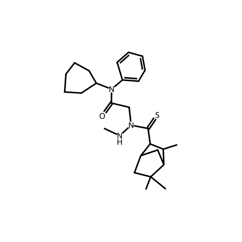 CNN(CC(=O)N(c1ccccc1)C1CCCCC1)C(=S)C1C2CC(C1C)C(C)(C)C2